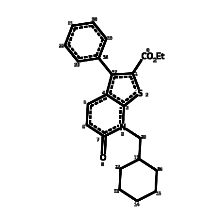 CCOC(=O)c1sc2c(ccc(=O)n2CC2CCCCC2)c1-c1ccccc1